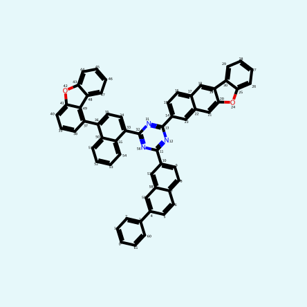 c1ccc(-c2ccc3ccc(-c4nc(-c5ccc6cc7c(cc6c5)oc5ccccc57)nc(-c5ccc(-c6cccc7oc8ccccc8c67)c6ccccc56)n4)cc3c2)cc1